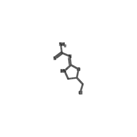 NC(=S)/N=C1\NCC(CCl)O1